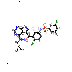 O=C(c1c(F)ccc(NS(=O)(=O)c2cc(F)cc(F)c2)c1F)c1c[nH]c2ncnc(NCC3CC3)c12